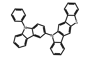 c1ccc(-n2c3ccccc3c3cc(-n4c5ccccc5c5cc6sc7ccccc7c6cc54)ccc32)cc1